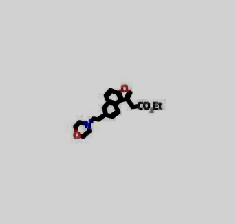 CCOC(=O)Cc1coc2ccc3cc(CCN4CCOCC4)ccc3c12